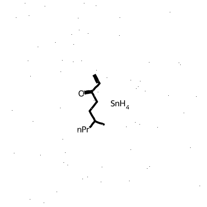 [CH2]CCC(C)CCC(=O)C=C.[SnH4]